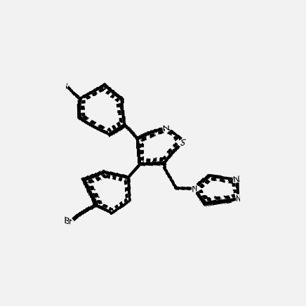 Brc1ccc(-c2c(-c3ccc(I)cc3)nsc2Cn2cnnc2)cc1